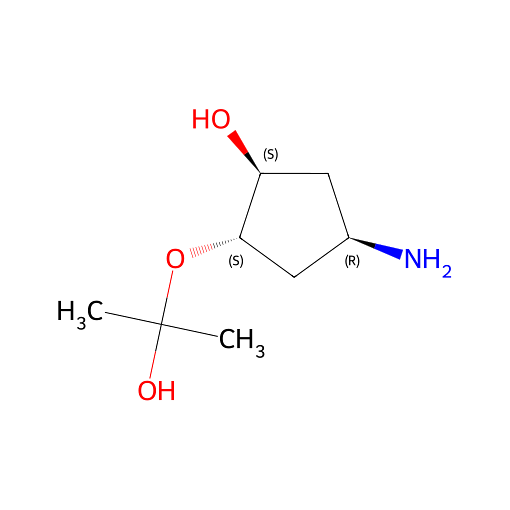 CC(C)(O)O[C@H]1C[C@H](N)C[C@@H]1O